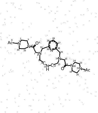 CC(=O)N1CCN(C(=O)CN2CCNCCN(CC(=O)N3CCN(C(C)=O)CC3)Cc3cccc(n3)C2)CC1